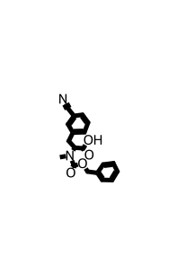 CN(C(=O)OCc1ccccc1)C(Cc1cccc(C#N)c1)C(=O)O